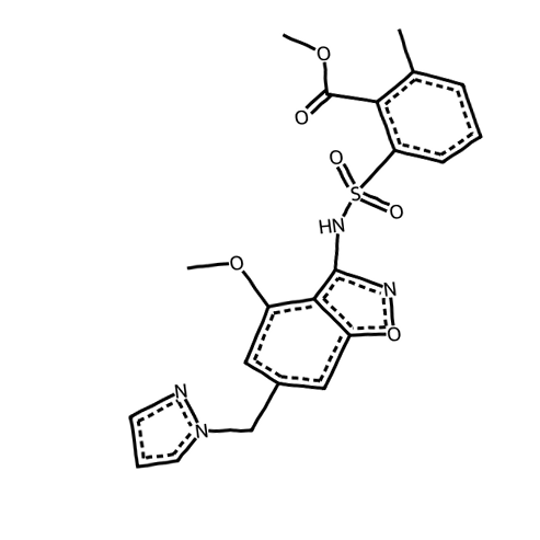 COC(=O)c1c(C)cccc1S(=O)(=O)Nc1noc2cc(Cn3cccn3)cc(OC)c12